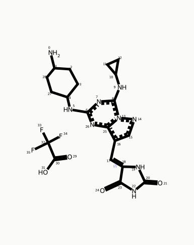 NC1CCC(Nc2nc(NC3CC3)n3ncc(/C=C4\NC(=O)NC4=O)c3n2)CC1.O=C(O)C(F)(F)F